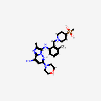 Cc1nc2c(N)cc(N3CCOCC3)nn2c1Nc1cccc(C(F)(F)F)c1CN1CCC(S(C)(=O)=O)CC1